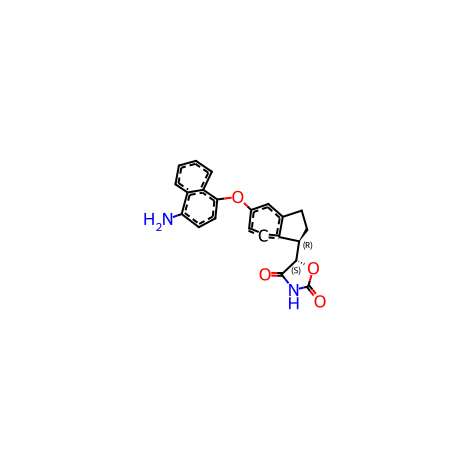 Nc1ccc(Oc2ccc3c(c2)CC[C@H]3[C@@H]2OC(=O)NC2=O)c2ccccc12